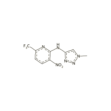 Cn1cc(Nc2nc(C(F)(F)F)ccc2[N+](=O)[O-])nn1